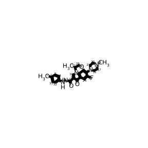 Cc1ccc(NNC(=O)c2cn3c4c(c(N5CCN(C)CC5)c(F)cc4c2=O)OC[C@@H]3C)cc1